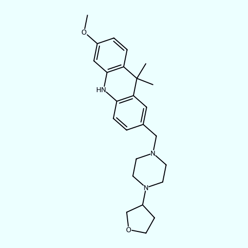 COc1ccc2c(c1)Nc1ccc(CN3CCN(C4CCOC4)CC3)cc1C2(C)C